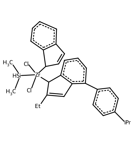 CCC1=Cc2c(-c3ccc(C(C)C)cc3)cccc2[CH]1[Zr]([Cl])([Cl])([CH]1C=Cc2ccccc21)[SiH](C)C